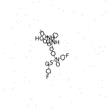 CC(C)(C)OC[C@@H](NC(=O)[C@H](NC(=O)COc1ccc(C2C(SCC(=O)c3ccc(F)cc3)C(=O)N2c2ccc(F)cc2)cc1)c1ccccc1)C(=O)O